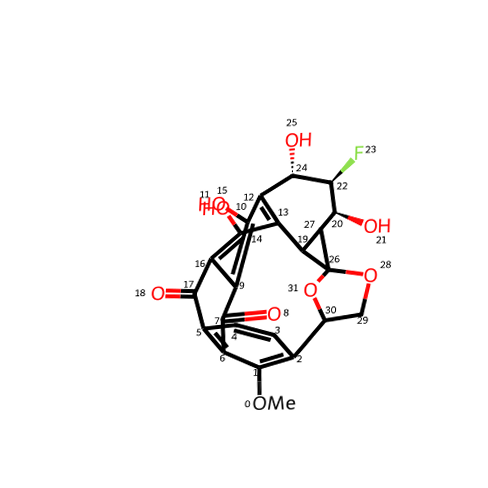 COc1c2ccc3c1C(=O)c1c(O)c4c(c(O)c1C3=O)C([C@H](O)[C@H](F)[C@H]4O)C1(C)OCC2O1